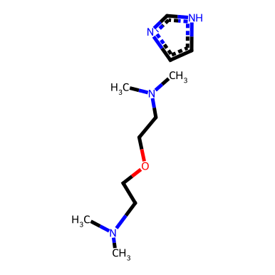 CN(C)CCOCCN(C)C.c1c[nH]cn1